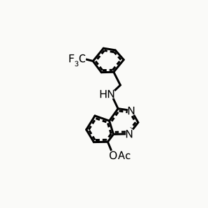 CC(=O)Oc1cccc2c(NCc3cccc(C(F)(F)F)c3)ncnc12